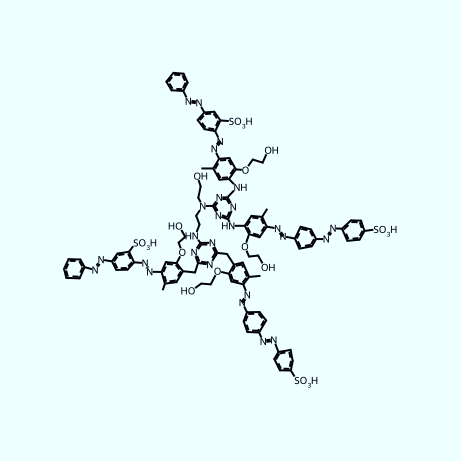 Cc1cc(Cc2nc(Cc3cc(C)c(N=Nc4ccc(N=Nc5ccccc5)cc4S(=O)(=O)O)cc3OCCO)nc(NCCN(CCO)c3nc(Nc4cc(C)c(N=Nc5ccc(N=Nc6ccc(S(=O)(=O)O)cc6)cc5)cc4OCCO)nc(Nc4cc(C)c(N=Nc5ccc(N=Nc6ccccc6)cc5S(=O)(=O)O)cc4OCCO)n3)n2)c(OCCO)cc1N=Nc1ccc(N=Nc2ccc(S(=O)(=O)O)cc2)cc1